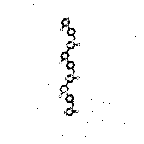 O=C1CCC(c2cc(=O)n(Cc3ccc(-n4cc(-c5cc(=O)n(Cc6ccc(-n7cnccc7=O)cc6)cn5)ccc4=O)cc3)cn2)CN1c1ccc(Cn2cnccc2=O)cc1